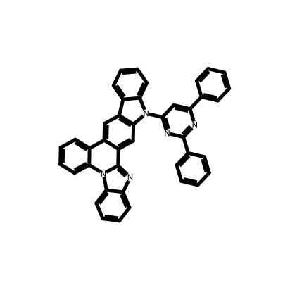 c1ccc(-c2cc(-n3c4ccccc4c4cc5c6ccccc6n6c7ccccc7nc6c5cc43)nc(-c3ccccc3)n2)cc1